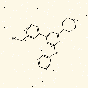 OCc1cccc(-c2cc(Nc3cccnc3)nc(N3CCOCC3)n2)c1